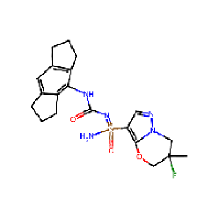 CC1(F)COc2c(S(N)(=O)=NC(=O)Nc3c4c(cc5c3CCC5)CCC4)cnn2C1